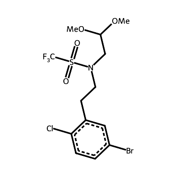 COC(CN(CCc1cc(Br)ccc1Cl)S(=O)(=O)C(F)(F)F)OC